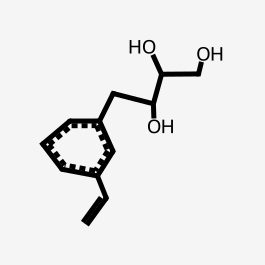 C=Cc1cccc(CC(O)C(O)CO)c1